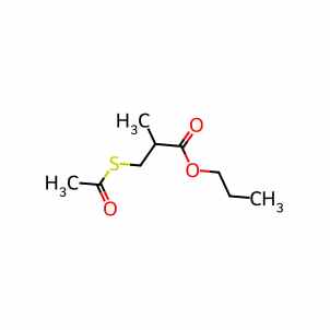 CCCOC(=O)C(C)CSC(C)=O